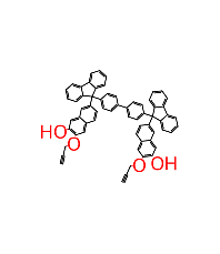 C#CCOc1cc2ccc(C3(c4ccc(-c5ccc(C6(c7ccc8cc(OCC#C)c(O)cc8c7)c7ccccc7-c7ccccc76)cc5)cc4)c4ccccc4-c4ccccc43)cc2cc1O